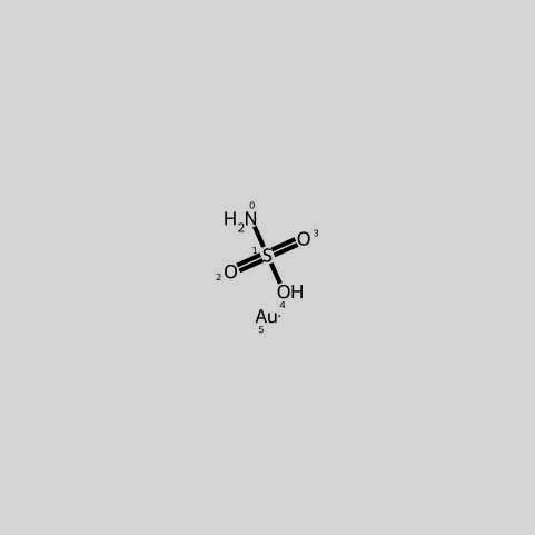 NS(=O)(=O)O.[Au]